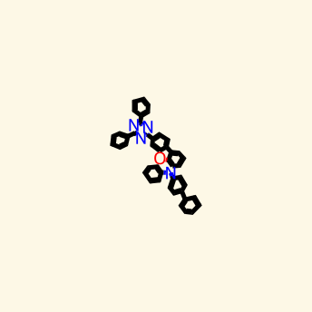 c1ccc(-c2ccc(N(c3ccccc3)c3cccc4c3oc3cc(-c5nc(-c6ccccc6)nc(-c6ccccc6)n5)ccc34)cc2)cc1